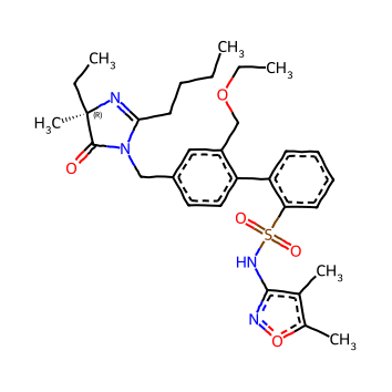 CCCCC1=N[C@](C)(CC)C(=O)N1Cc1ccc(-c2ccccc2S(=O)(=O)Nc2noc(C)c2C)c(COCC)c1